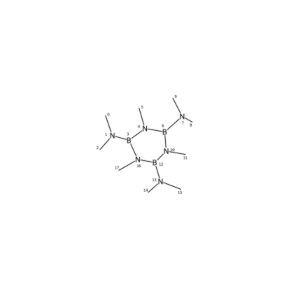 CN(C)B1N(C)B(N(C)C)N(C)B(N(C)C)N1C